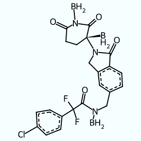 BN(Cc1ccc2c(c1)CN([C@]1(B)CCC(=O)N(B)C1=O)C2=O)C(=O)C(F)(F)c1ccc(Cl)cc1